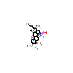 CC(=O)O[C@H]1CC[C@@]2(C)C(CC=C3[C@@H]2CC[C@]2(C)[C@@H]([C@H](C)CCCC(C)C)CC(=NO)[C@@]32C)C1(C)C